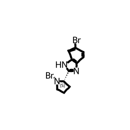 Brc1ccc2nc([C@@H]3CCCN3Br)[nH]c2c1